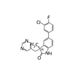 C[C@]1(Cc2cncnc2)C(=O)Nc2ccc(-c3ccc(F)c(Cl)c3)cc21